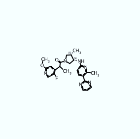 COc1cc(C(C)C(=O)N2C[C@H](C)[C@H](Nc3ccc(-c4ncccn4)c(C)n3)C2)c(F)cn1